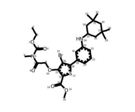 CCOC(=O)N(C)C(=O)COc1c(C(=O)OC)sc(-c2cccc(NC3CC(C)(C)CC(C)(C)C3)c2)c1Br